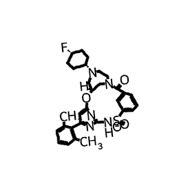 Cc1cccc(C)c1-c1cc2nc(n1)NS(=O)(=O)c1cccc(c1)C(=O)N1CCN([C@H]3CC[C@@H](F)CC3)C[C@H](C1)O2